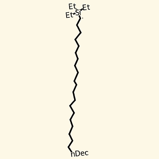 CCCCCCCCCCCCCCCCCCCCCCCCCCCCC[CH][Si](CC)(CC)CC